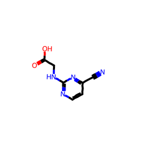 N#Cc1ccnc(NCC(=O)O)n1